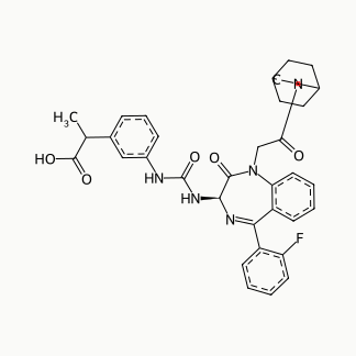 CC(C(=O)O)c1cccc(NC(=O)N[C@@H]2N=C(c3ccccc3F)c3ccccc3N(CC(=O)N3CC4CCC(CC4)C3)C2=O)c1